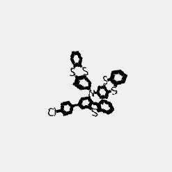 Clc1ccc(-c2cc(N(c3ccc4c(c3)Sc3ccccc3S4)c3ccc4c(c3)Sc3ccccc3S4)c3c(c2)sc2ccccc23)cc1